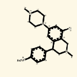 CC(=O)Nc1ccc(C2CN(C)Cc3c(Cl)cc(N4CCN(C)CC4)cc32)cc1